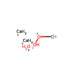 O.OOCl.[CaH2].[CaH2]